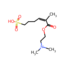 CC(=CCCCS(=O)(=O)O)C(=O)OCCN(C)C